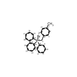 Cc1ccc(CP(Br)(c2ccccc2)(c2ccccc2)c2ccccc2)cc1